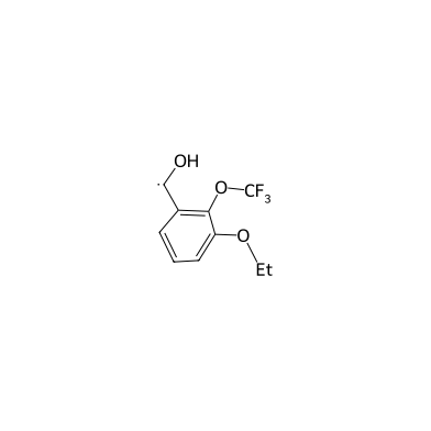 CCOc1cccc([CH]O)c1OC(F)(F)F